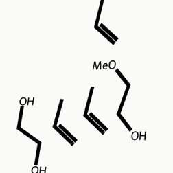 C=CC.C=CC.C=CC.COCCO.OCCO